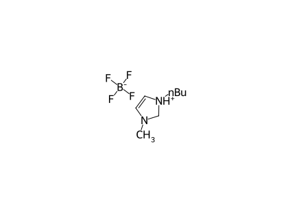 CCCC[NH+]1C=CN(C)C1.F[B-](F)(F)F